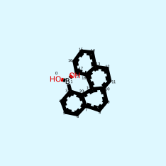 OB(O)c1cccc2ccc3ccc4ccccc4c3c12